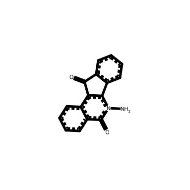 Nn1c2c(c3ccccc3c1=O)C(=O)c1ccccc1-2